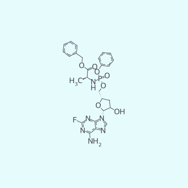 C[C@H](NP(=O)(OC[C@@H]1CC(O)[C@H](n2cnc3c(N)nc(F)nc32)O1)Oc1ccccc1)C(=O)OCc1ccccc1